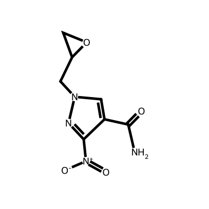 NC(=O)c1cn(CC2CO2)nc1[N+](=O)[O-]